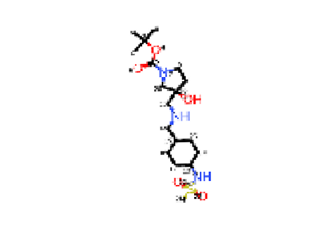 CC(C)(C)OC(=O)N1CCC(O)(CNCC2CCC(NS(C)(=O)=O)CC2)C1